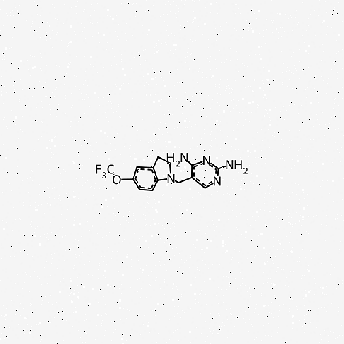 Nc1ncc(CN2CCc3cc(OC(F)(F)F)ccc32)c(N)n1